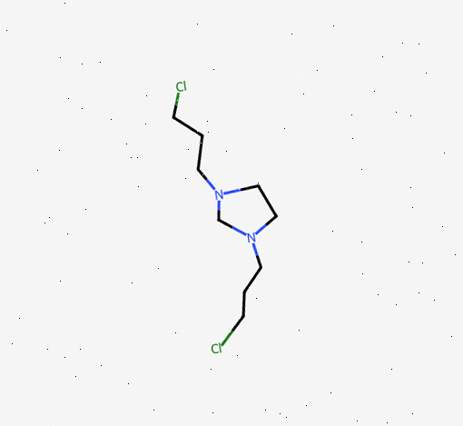 ClCCCN1CCN(CCCCl)C1